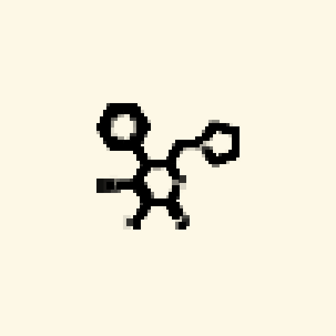 CCC1=C(O)C(c2ccccc2)C(CN2CCCC2)OC1=O